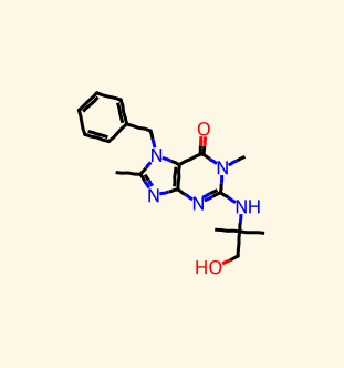 Cc1nc2nc(NC(C)(C)CO)n(C)c(=O)c2n1Cc1ccccc1